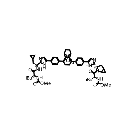 CCC(C)[C@H](NC(=O)OC)C(=O)N[C@@H](CC1CC1)c1ncc(-c2ccc(-c3ccc(-c4ccc(-c5cnc([C@@H]6CC7CC7N6C(=O)[C@@H](NC(=O)OC)C(C)CC)[nH]5)cc4)c4c3C3CCC4N3C)cc2)[nH]1